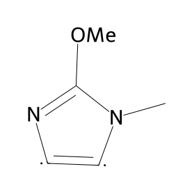 COc1n[c][c]n1C